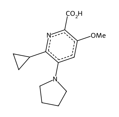 COc1cc(N2CCCC2)c(C2CC2)nc1C(=O)O